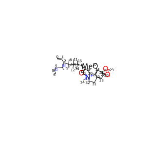 C=C/C(=C\C=C/C)C(C)(C)C(C)(C)C(C)(C)CC(=O)CC1c2c(cc3c(c2OC)OCO3)CC[N+]1(C)C